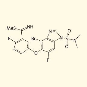 CSC(=N)c1cc(Oc2c(F)cc3c(ncn3S(=O)(=O)N(C)C)c2Br)ccc1F